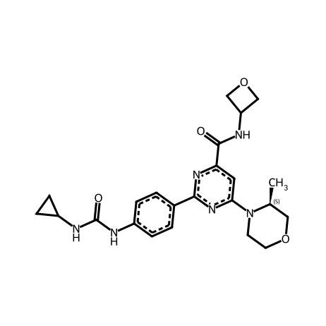 C[C@H]1COCCN1c1cc(C(=O)NC2COC2)nc(-c2ccc(NC(=O)NC3CC3)cc2)n1